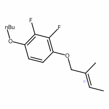 C/C=C(\C)COc1ccc(OCCCC)c(F)c1F